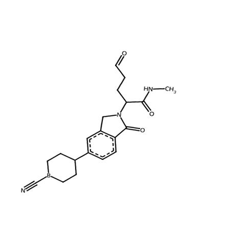 CNC(=O)C(CCC=O)N1Cc2cc(C3CCB(C#N)CC3)ccc2C1=O